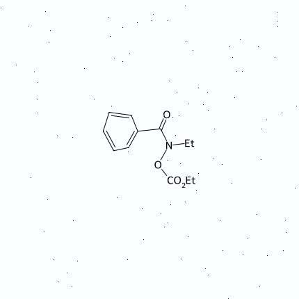 CCOC(=O)ON(CC)C(=O)c1ccccc1